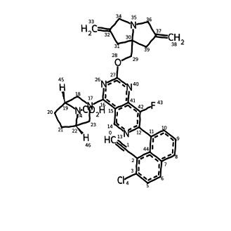 C#Cc1c(Cl)ccc2cccc(-c3ncc4c(N5C[C@H]6CC[C@@H](C5)N6C(=O)O)nc(OCC56CC(=C)CN5CC(=C)C6)nc4c3F)c12